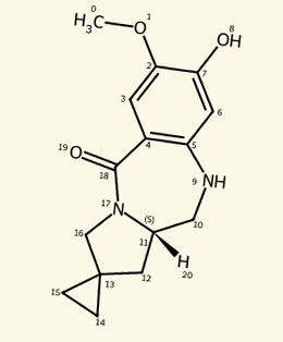 COc1cc2c(cc1O)NC[C@@H]1CC3(CC3)CN1C2=O